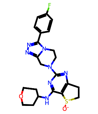 [O-][S@@+]1CCc2nc(N3CCn4c(nnc4-c4ccc(F)cc4)C3)nc(NC3CCOCC3)c21